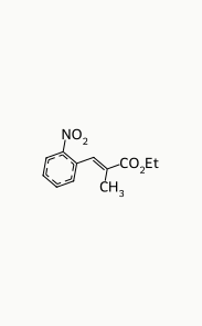 CCOC(=O)/C(C)=C/c1ccccc1[N+](=O)[O-]